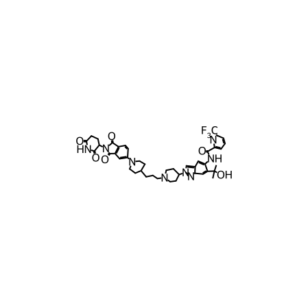 CC(C)(O)c1cc2nn(C3CCN(CCCC4CCN(c5ccc6c(c5)C(=O)N(C5CCC(=O)NC5=O)C6=O)CC4)CC3)cc2cc1NC(=O)c1cccc(C(F)(F)F)n1